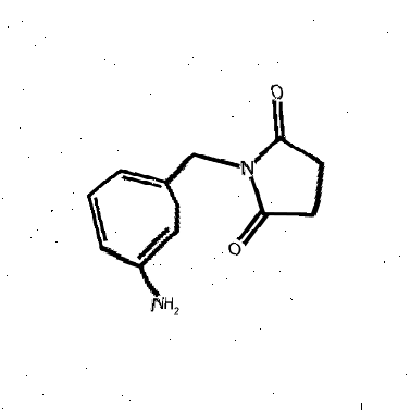 Nc1cccc(CN2C(=O)CCC2=O)c1